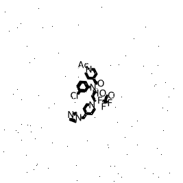 CC(=O)N1CCC(C(=O)N(CCCN2CCC(Cn3ccnc3)CC2)c2cccc(Cl)c2)CC1.O=C(O)C(F)(F)F